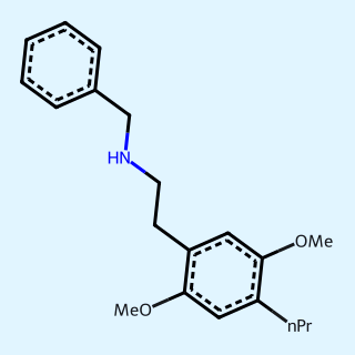 CCCc1cc(OC)c(CCNCc2ccccc2)cc1OC